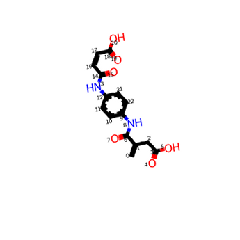 C=C(CC(=O)O)C(=O)Nc1ccc(NC(=O)/C=C\C(=O)O)cc1